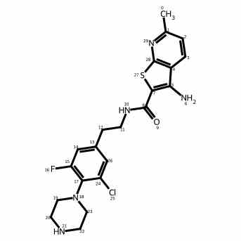 Cc1ccc2c(N)c(C(=O)NCCc3cc(F)c(N4CCNCC4)c(Cl)c3)sc2n1